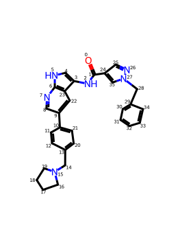 O=C(Nc1c[nH]c2ncc(-c3ccc(CN4CCCC4)cc3)cc12)c1cnn(Cc2ccccc2)c1